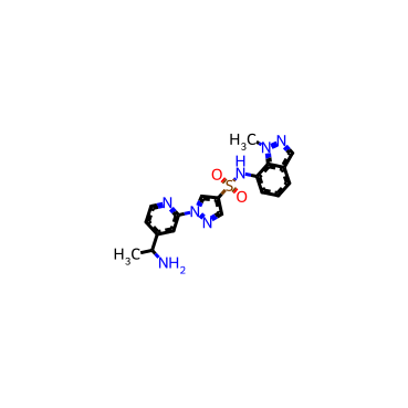 CC(N)c1ccnc(-n2cc(S(=O)(=O)Nc3cccc4cnn(C)c34)cn2)c1